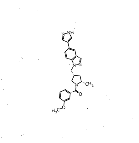 COc1cccc(C(=O)N2C[C@H](Cn3ncc4cc(-c5cn[nH]c5)ccc43)C[C@@H]2C)c1